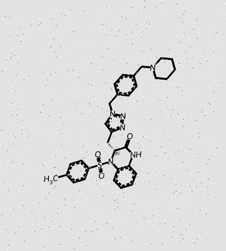 Cc1ccc(S(=O)(=O)N2c3ccccc3NC(=O)[C@H]2Cc2cn(Cc3ccc(CN4CCCCC4)cc3)nn2)cc1